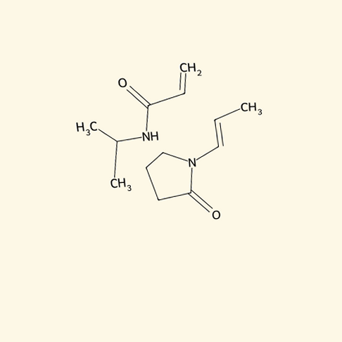 C=CC(=O)NC(C)C.CC=CN1CCCC1=O